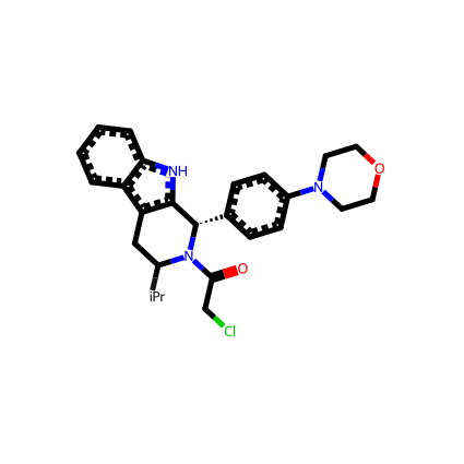 CC(C)C1Cc2c([nH]c3ccccc23)[C@H](c2ccc(N3CCOCC3)cc2)N1C(=O)CCl